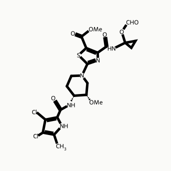 COC(=O)c1sc(N2CC[C@@H](NC(=O)c3[nH]c(C)c(Cl)c3Cl)[C@@H](OC)C2)nc1C(=O)NC1(OC=O)CC1